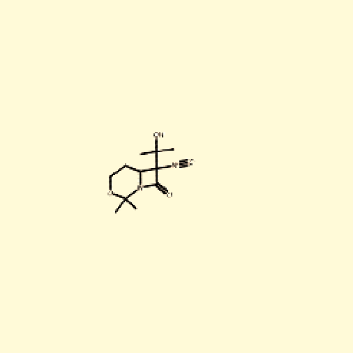 [C-]#[N+]C1(C(C)(C)O)C(=O)N2C1CCOC2(C)C